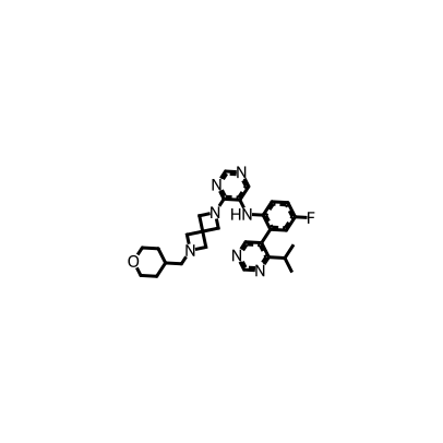 CC(C)c1ncncc1-c1cc(F)ccc1Nc1cncnc1N1CC2(CN(CC3CCOCC3)C2)C1